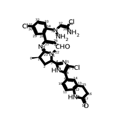 C[C@@H]1CC(c2nc(Cl)c(-c3ccc4c(c3)CCC(=O)N4)[nH]2)N(C)/C1=N\C(=C/C=O)c1cc(Cl)ccc1N(N)/C=C(\N)Cl